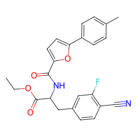 CCOC(=O)C(Cc1ccc(C#N)c(F)c1)NC(=O)c1ccc(-c2ccc(C)cc2)o1